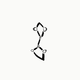 C1OB(B2OCO2)O1